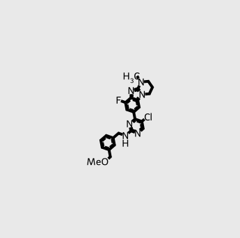 COCc1cccc(CNc2ncc(Cl)c(-c3cc(F)c4nc5n(c4c3)CCCN5C)n2)c1